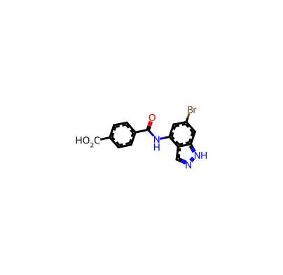 O=C(O)c1ccc(C(=O)Nc2cc(Br)cc3[nH]ncc23)cc1